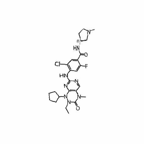 CCN1C(=O)N(C)c2cnc(Nc3cc(F)c(C(=O)N[C@@H]4CCN(C)C4)cc3Cl)nc2N1C1CCCC1